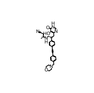 C[C@@H](CC#N)NC[C@@H](Cc1nc[nH]c(=O)c1O)c1ccc(C#Cc2ccc(CN3CCOCC3)cc2)cc1